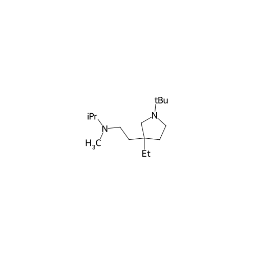 CCC1(CCN(C)C(C)C)CCN(C(C)(C)C)C1